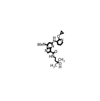 CNc1cc(Nc2cccnc2OC2CC2)nc2c(C(=O)NCCC(C)(C)O)cnn12